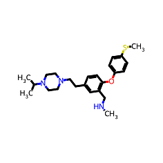 CNCc1cc(CCN2CCN(C(C)C)CC2)ccc1Oc1ccc(SC)cc1